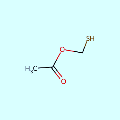 CC(=O)OCS